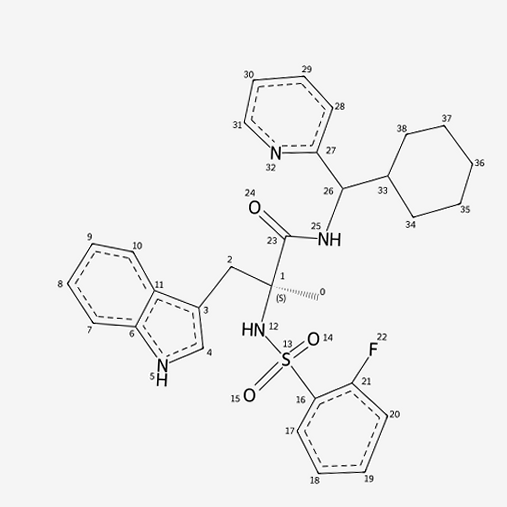 C[C@@](Cc1c[nH]c2ccccc12)(NS(=O)(=O)c1ccccc1F)C(=O)NC(c1ccccn1)C1CCCCC1